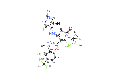 C[C@@H](NC(=O)c1cn(C2(C(F)F)CC2)c(=O)cc1N[C@@H]1[C@@H]2CN(C)C[C@@H]21)c1cccc(C(C)(F)F)c1F